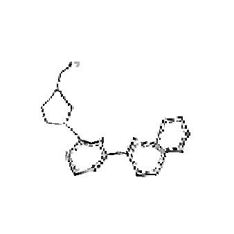 ClCC1CCN(c2nccc(-c3ccc4ccccc4c3)n2)C1